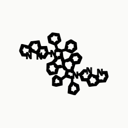 c1ccc(-c2c(-c3ccccc3)n(-c3cnc4c(ccc5cccnc54)c3)c3c4ccccc4c4c5c(-c6ccccc6)c(-c6ccccc6)n(-c6cnc7c(ccc8cccnc87)c6)c5c5ccccc5c4c23)cc1